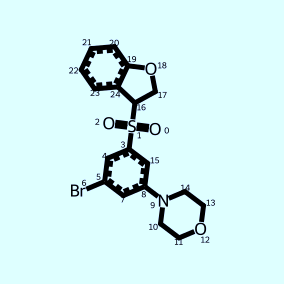 O=S(=O)(c1cc(Br)cc(N2CCOCC2)c1)C1COc2ccccc21